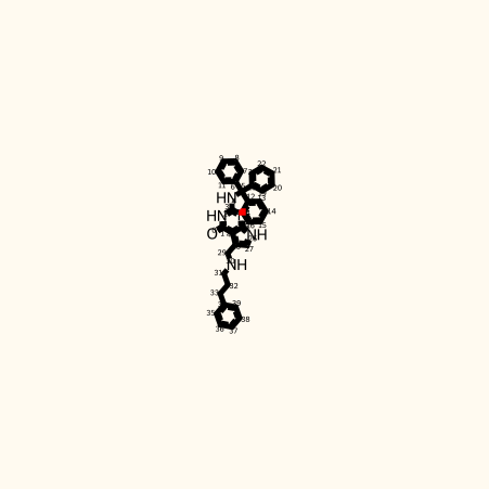 O=c1[nH]c(NC(c2ccccc2)(c2ccccc2)c2ccccc2)nc2[nH]cc(CNCCCc3ccccc3)c12